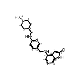 CN1CCC(CNc2ccc(CNc3cncc4[nH]c(Cl)cc34)cn2)CC1